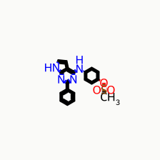 CS(=O)(=O)O[C@H]1CC[C@H](Nc2nc(-c3ccccc3)nc3[nH]ccc23)CC1